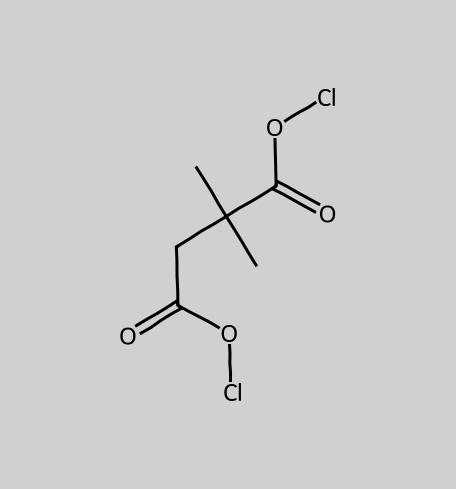 CC(C)(CC(=O)OCl)C(=O)OCl